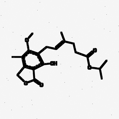 COc1c(C)c2c(c(O)c1C/C=C(\C)CCC(=O)OC(C)C)C(=O)OC2